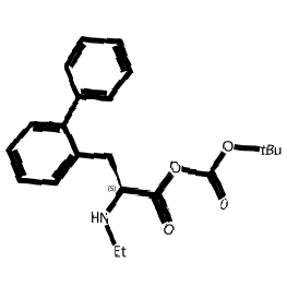 CCN[C@@H](Cc1ccccc1-c1ccccc1)C(=O)OC(=O)OC(C)(C)C